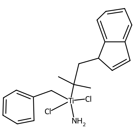 C[C](C)(CC1C=Cc2ccccc21)[Ti]([NH2])([Cl])([Cl])[CH2]c1ccccc1